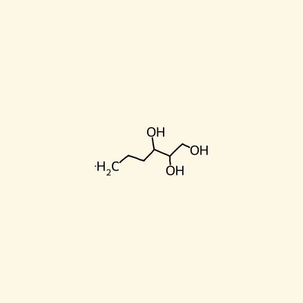 [CH2]CCC(O)C(O)CO